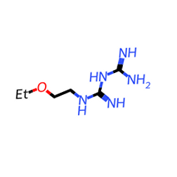 CCOCCNC(=N)NC(=N)N